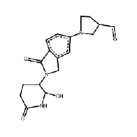 O=CC1CCN(c2ccc3c(c2)CN(C2CCC(=O)NC2O)C3=O)C1